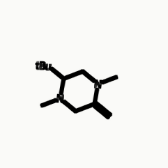 C=C1CN(C)C(C(C)(C)C)CN1C